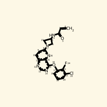 C=CC(=O)NC1CN(c2ccc3ncnc(Oc4cccc(Cl)c4F)c3n2)C1